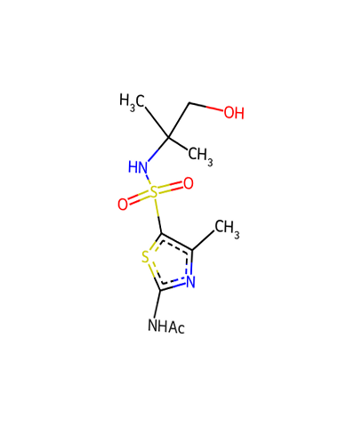 CC(=O)Nc1nc(C)c(S(=O)(=O)NC(C)(C)CO)s1